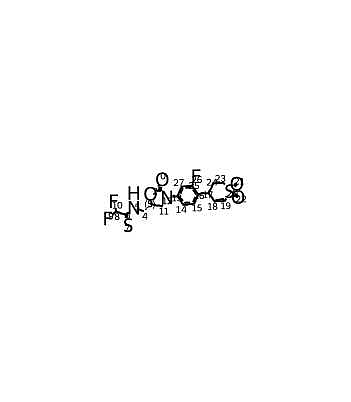 O=C1O[C@@H](CNC(=S)C(F)F)CN1c1ccc(C2C=CS(=O)(=O)CC2)c(F)c1